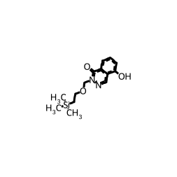 C[Si](C)(C)CCOCn1ncc2c(O)cccc2c1=O